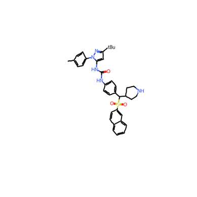 Cc1ccc(-n2nc(C(C)(C)C)cc2NC(=O)Nc2ccc(C(C3CCNCC3)S(=O)(=O)c3ccc4ccccc4c3)cc2)cc1